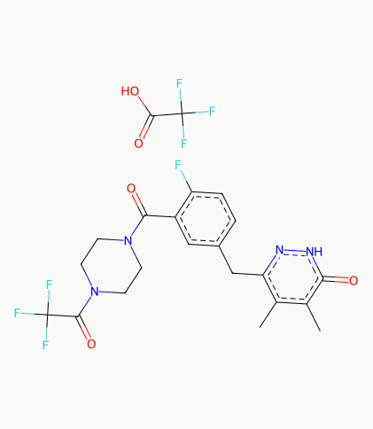 Cc1c(Cc2ccc(F)c(C(=O)N3CCN(C(=O)C(F)(F)F)CC3)c2)n[nH]c(=O)c1C.O=C(O)C(F)(F)F